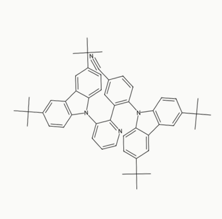 CC(C)(C)c1ccc2c(c1)c1cc(C(C)(C)C)ccc1n2-c1ccc(C#N)cc1-c1ncccc1-n1c2ccc(C(C)(C)C)cc2c2cc(C(C)(C)C)ccc21